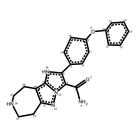 NC(=O)c1c(-c2ccc(Oc3ccccc3)cc2)[nH]c2c3c(nn12)CCNCC3